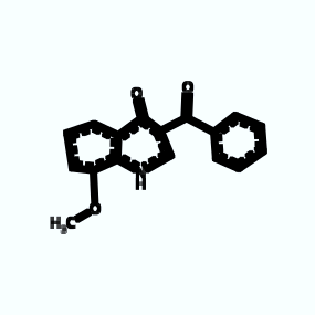 COc1cccc2c(=O)c(C(=O)c3ccccc3)c[nH]c12